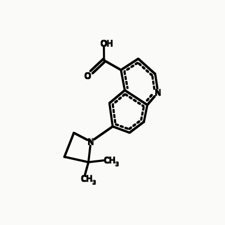 CC1(C)CCN1c1ccc2nccc(C(=O)O)c2c1